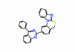 c1ccc(-c2nc(-c3ccc4c(c3)-n3c(nc5ccccc53)SC4)nc3ccccc23)cc1